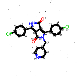 O=C1NC(c2ccc(Cl)cc2)=C2C(=O)N(Cc3ccncc3)C(c3ccc(Cl)cc3)=C12